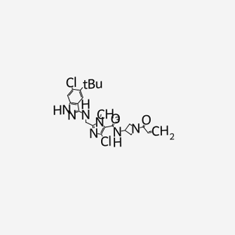 C=CC(=O)N1CC(NC(=O)c2c(Cl)nc(CNc3n[nH]c4cc(Cl)c(C(C)(C)C)cc34)n2C)C1